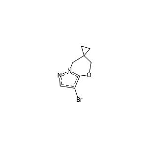 Brc1cnn2c1OCC1(CC1)C2